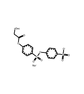 CCCCCCCCCCCC(=O)Oc1ccc(S(=O)(=O)Oc2ccc(S(=O)(=O)[O-])cc2)cc1.[Na+]